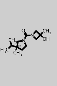 CC(C)[C@@]1(C)CCN(C(=O)N2CC(C)(O)C2)C1